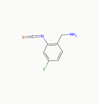 NCc1ccc(F)cc1N=C=S